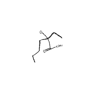 CCCCC(Cl)(CC)C(=O)O